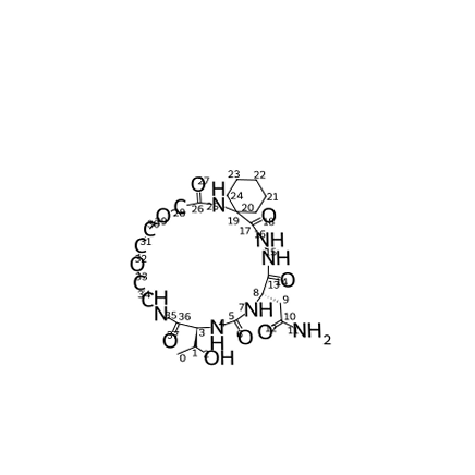 CC(O)[C@@H]1NC(=O)N[C@@H](CC(N)=O)C(=O)NNC(=O)C2(CCCCC2)NC(=O)COCCOCCNC1=O